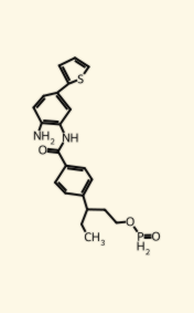 CCC(CCO[PH2]=O)c1ccc(C(=O)Nc2cc(-c3cccs3)ccc2N)cc1